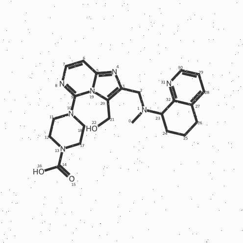 CN(Cc1nc2ccnc(N3CCN(C(=O)O)CC3)n2c1CO)C1CCCc2cccnc21